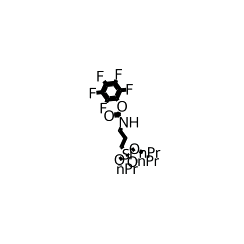 CCCO[Si](CCCNC(=O)Oc1c(F)c(F)c(F)c(F)c1F)(OCCC)OCCC